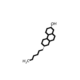 CCCCCC[C@@H]1CCC2C(CCC3C[C@@H](O)CCC32)C1